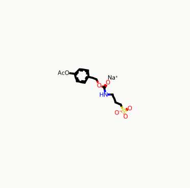 CC(=O)Oc1ccc(COC(=O)NCCCS(=O)(=O)[O-])cc1.[Na+]